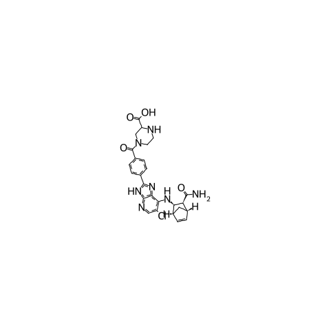 NC(=O)[C@@H]1[C@H](Nc2c(Cl)cnc3[nH]c(-c4ccc(C(=O)N5CCNC(C(=O)O)C5)cc4)nc23)[C@H]2C=C[C@@H]1C2